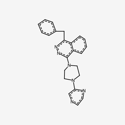 c1ccc(Cc2nnc(N3CCN(c4cnccn4)CC3)c3ccccc23)cc1